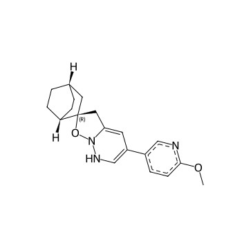 COc1ccc(C2=CNN3O[C@@]4(CC3=C2)C[C@H]2CC[C@@H]4CC2)cn1